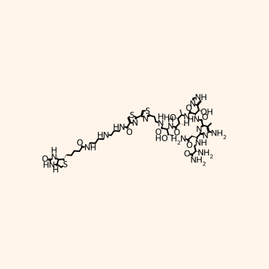 Cc1c(N)nc([C@H](CC(N)=O)NC[C@H](N)C(N)=O)nc1C(=O)N[C@H](C(=O)N[C@H](C)[C@@H](O)[C@H](C)C(=O)N[C@H](C(=O)NCCc1nc(-c2nc(C(=O)NCCCNCCCCNC(=O)CCCC[C@@H]3SC[C@@H]4NC(=O)NC43)cs2)cs1)[C@@H](C)O)[C@@H](O)c1c[nH]cn1